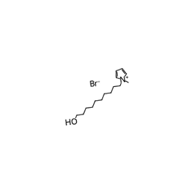 C[N+]1(CCCCCCCCCCO)C=CC=C1.[Br-]